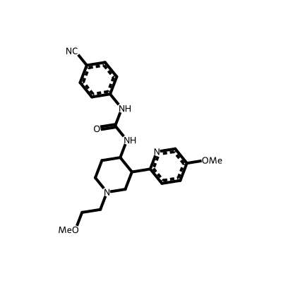 COCCN1CCC(NC(=O)Nc2ccc(C#N)cc2)C(c2ccc(OC)cn2)C1